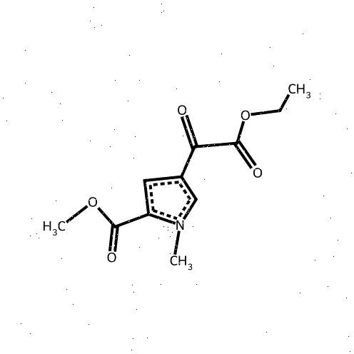 CCOC(=O)C(=O)c1cc(C(=O)OC)n(C)c1